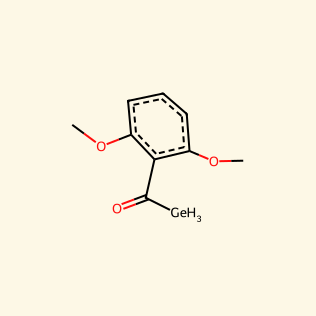 COc1cccc(OC)c1[C](=O)[GeH3]